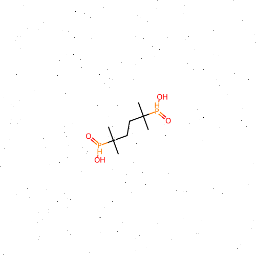 CC(C)(CCC(C)(C)[PH](=O)O)[PH](=O)O